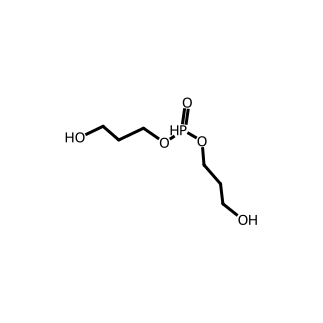 O=[PH](OCCCO)OCCCO